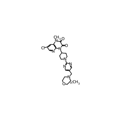 C[C@@H]1COCCN1Cc1cnc(N2CCC(n3c(=O)c(=O)n(C)c4cc(Cl)cnc43)CC2)nc1